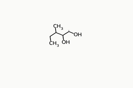 CCC(C)C(O)[CH]O